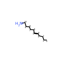 CCCCC=CCCCCCN